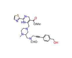 COC(=O)C1=C(CN2CCN(C)C(CN(C=O)CC#Cc3ccc(CO)cc3)C2)NC(c2nccs2)=NC1